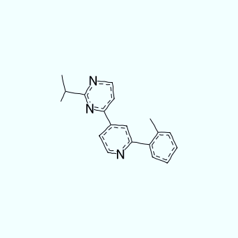 Cc1ccccc1-c1cc(-c2ccnc(C(C)C)n2)ccn1